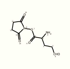 NC(CCC=O)C(=O)ON1C(=O)CCC1=O